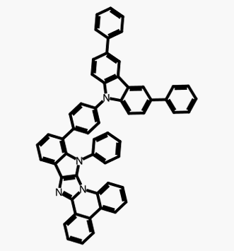 c1ccc(-c2ccc3c(c2)c2cc(-c4ccccc4)ccc2n3-c2ccc(-c3cccc4c5nc6c7ccccc7c7ccccc7n6c5n(-c5ccccc5)c34)cc2)cc1